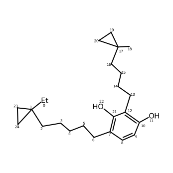 CCC1(CCCCCc2ccc(O)c(CCCCC3(C)CC3)c2O)CC1